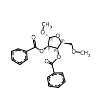 COC[C@@H]1O[C@@H](OC)[C@H](OC(=O)c2ccccc2)[C@@H]1OC(=O)c1ccccc1